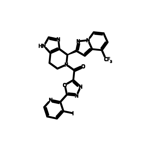 O=C(c1nnc(-c2ncccc2I)o1)N1CCc2[nH]cnc2[C@H]1c1cc2c(C(F)(F)F)cccn2n1